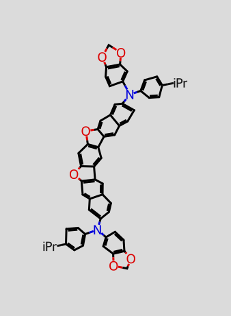 CC(C)c1ccc(N(c2ccc3c(c2)OCO3)c2ccc3cc4c(cc3c2)oc2cc3oc5cc6cc(N(c7ccc(C(C)C)cc7)c7ccc8c(c7)OCO8)ccc6cc5c3cc24)cc1